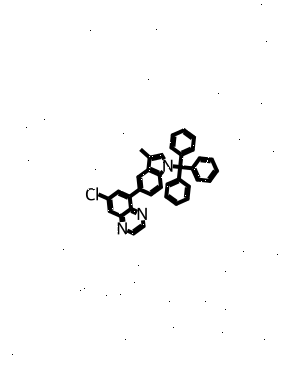 Cc1cn(C(c2ccccc2)(c2ccccc2)c2ccccc2)c2ccc(-c3cc(Cl)cc4nccnc34)cc12